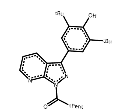 CCCCCC(=O)n1nc(-c2cc(C(C)(C)C)c(O)c(C(C)(C)C)c2)c2cccnc21